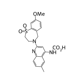 COc1ccc2c(c1)S(=O)(=O)CCN(c1cc(NC(=O)O)c3cc(C)ccc3n1)C2